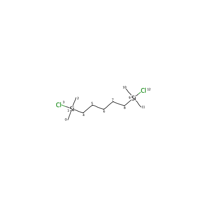 C[Si](C)(Cl)CCCCC[Si](C)(C)Cl